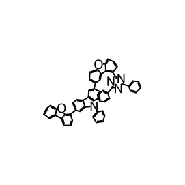 c1ccc(-c2nc(-c3ccccc3)nc(-c3cccc4oc5ccc(-c6ccc7c(c6)c6ccc(-c8cccc9c8oc8ccccc89)cc6n7-c6ccccc6)cc5c34)n2)cc1